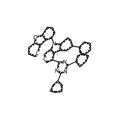 c1ccc(-c2ccc3c(c2)c2c(-c4nc(-c5ccccc5)nc(-c5ccccc5)n4)cccc2n3-c2cccc3oc4ccccc4c23)cc1